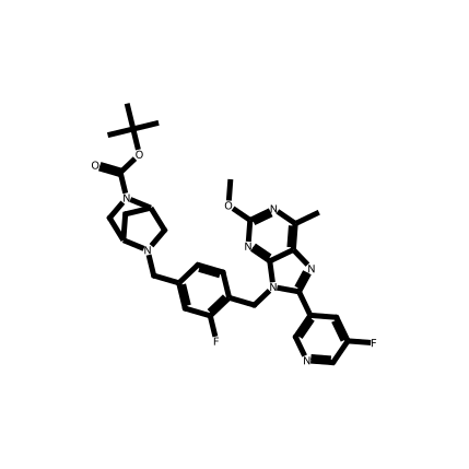 COc1nc(C)c2nc(-c3cncc(F)c3)n(Cc3ccc(CN4CC5CC4CN5C(=O)OC(C)(C)C)cc3F)c2n1